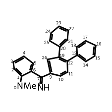 CNc1ccccc1C(=N)c1ccc(-c2ccccc2)c(-c2ccccc2)c1